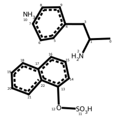 CC(N)Cc1ccccc1.N.O=S(=O)(O)Oc1cccc2ccccc12